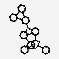 c1ccc(-c2nc(-c3ccccc3)nc(-c3cccc4c3c3c(-c5ccccc5)cccc3n4-c3ccc4c5ccccc5c5ccccc5c4c3)n2)cc1